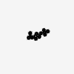 C1=CC2=C(c3cccc4c3sc3ccc(-c5c6ccccc6c(-c6ccccc6)c6ccccc56)cc34)c3ccccc3C(c3ccc4c5ccccc5n(-c5ccccc5)c4c3)=CC2C=C1